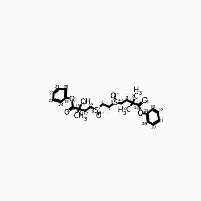 CC(C)(CC[S+]([O-])CC[S+]([O-])CCC(C)(C)C(=O)Oc1ccccc1)C(=O)Oc1ccccc1